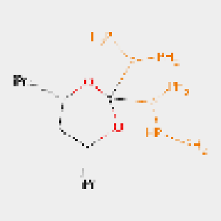 CC(C)[C@@H]1C[C@H](C(C)C)OC(P(P)P)(P(P)PP)O1